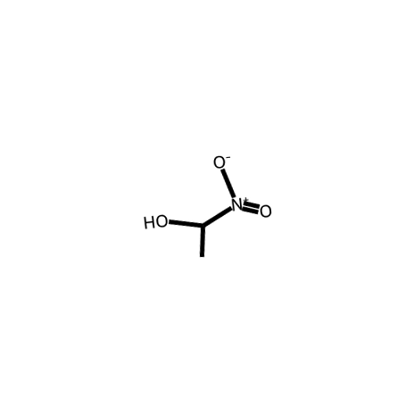 CC(O)[N+](=O)[O-]